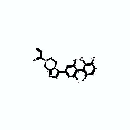 C=CC(=O)N1CCn2c(-c3cc(F)c(-c4c(F)ccc(Cl)c4O)c(Cl)c3)cnc2C1